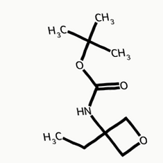 CCC1(NC(=O)OC(C)(C)C)COC1